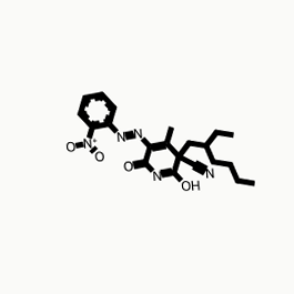 CCCCC(CC)CC1(C#N)C(O)=NC(=O)C(N=Nc2ccccc2[N+](=O)[O-])=C1C